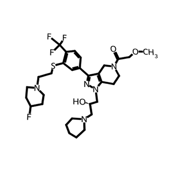 COCC(=O)N1CCc2c(c(-c3ccc(C(F)(F)F)c(SCCN4CCC(F)CC4)c3)nn2C[C@@H](O)CN2CCCCC2)C1